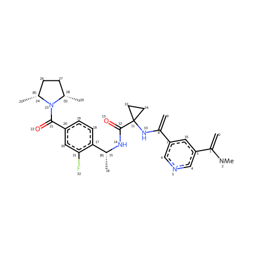 C=C(NC)c1cncc(C(=C)NC2(C(=O)N[C@H](C)c3ccc(C(=O)N4[C@H](C)CC[C@@H]4C)cc3F)CC2)c1